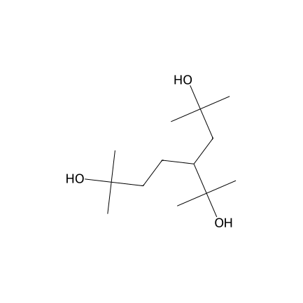 CC(C)(O)CCC(CC(C)(C)O)C(C)(C)O